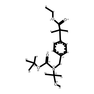 CCOC(=O)C(C)(C)c1ccc(CN(C(=O)OC(C)(C)C)C(C)(C)OC)cc1